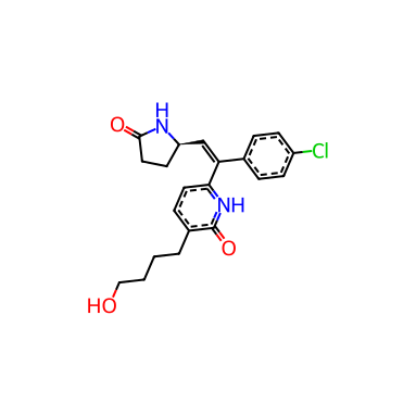 O=C1CC[C@H](C=C(c2ccc(Cl)cc2)c2ccc(CCCCO)c(=O)[nH]2)N1